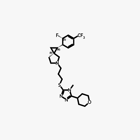 Cn1c(SCCCN2CC[C@@]3(C[C@@H]3C3C=CC(C(F)(F)F)=C[C@H]3F)C2)nnc1C1CCOCC1